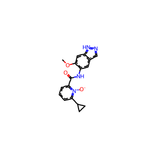 COc1cc2[nH]ncc2cc1NC(=O)c1cccc(C2CC2)[n+]1[O-]